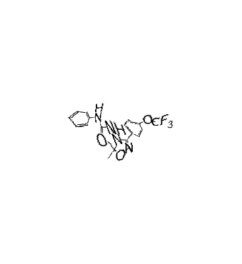 CC1(C)ON=C(c2ccc(OC(F)(F)F)cc2)N1NC(=O)Nc1ccccc1